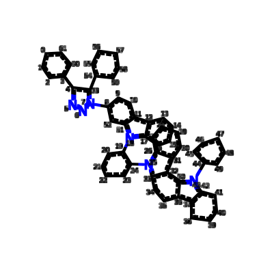 c1ccc(-c2nnn(-c3ccc4c5ccccc5n(-c5ccccc5-n5c6ccccc6c6c5ccc5c7ccccc7n(-c7ccccc7)c56)c4c3)c2-c2ccccc2)cc1